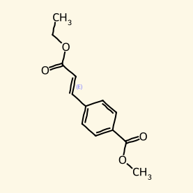 CCOC(=O)/C=C/c1ccc(C(=O)OC)cc1